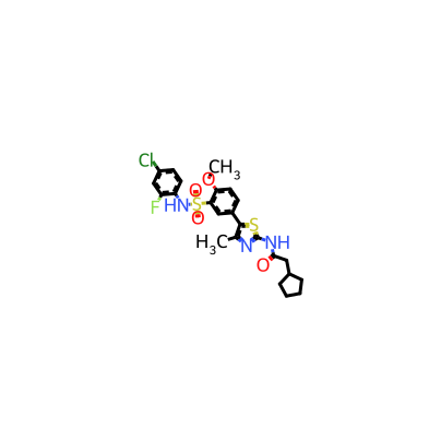 COc1ccc(-c2sc(NC(=O)CC3CCCC3)nc2C)cc1S(=O)(=O)Nc1ccc(Cl)cc1F